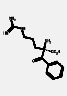 N=C(N)NCCC[C@](N)(C(=O)O)C(=O)c1ccccc1